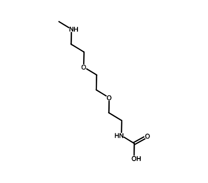 CNCCOCCOCCNC(=O)O